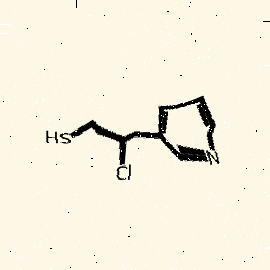 SCC(Cl)c1cccnc1